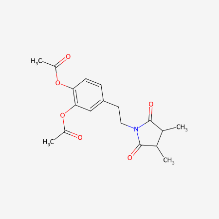 CC(=O)Oc1ccc(CCN2C(=O)C(C)C(C)C2=O)cc1OC(C)=O